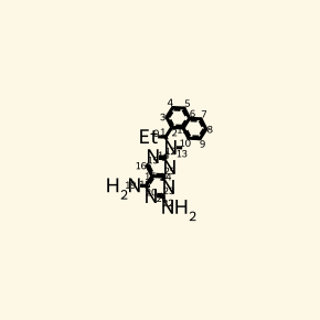 CCC(c1cccc2ccccc12)N(C)c1ncc2c(N)nc(N)nc2n1